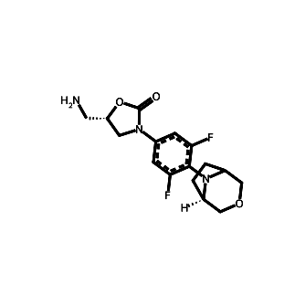 NC[C@H]1CN(c2cc(F)c(N3C4CC[C@@H]3COC4)c(F)c2)C(=O)O1